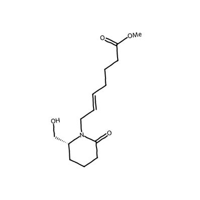 COC(=O)CCCC=CCN1C(=O)CCC[C@@H]1CO